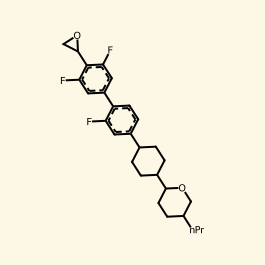 CCCC1CCC(C2CCC(c3ccc(-c4cc(F)c(C5CO5)c(F)c4)c(F)c3)CC2)OC1